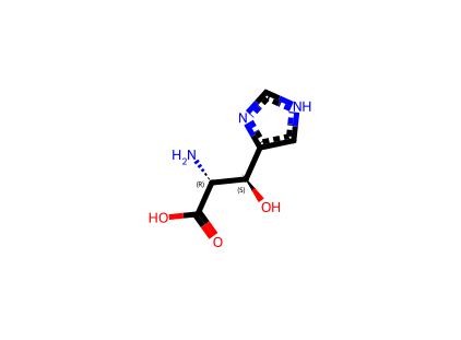 N[C@@H](C(=O)O)[C@H](O)c1c[nH]cn1